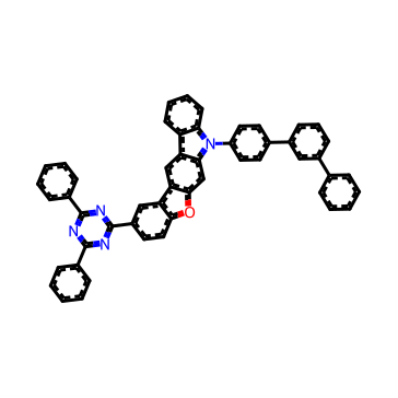 c1ccc(-c2cccc(-c3ccc(-n4c5ccccc5c5cc6c(cc54)oc4ccc(-c5nc(-c7ccccc7)nc(-c7ccccc7)n5)cc46)cc3)c2)cc1